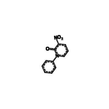 O=c1c([N+](=O)[O-])cccn1-c1ccccc1